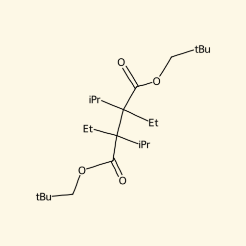 CCC(C(=O)OCC(C)(C)C)(C(C)C)C(CC)(C(=O)OCC(C)(C)C)C(C)C